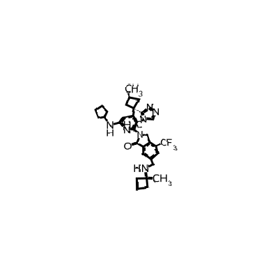 Cn1cnnc1[C@]1(c2cc(NC3CCCC3)nc(N3Cc4c(cc(CNC5(C)CCC5)cc4C(F)(F)F)C3=O)c2)C[C@@H](C)C1